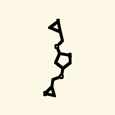 C1SC(OCC2CS2)CC1OCC1CS1